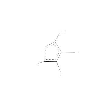 CCc1c(O)sc(O)c1Br